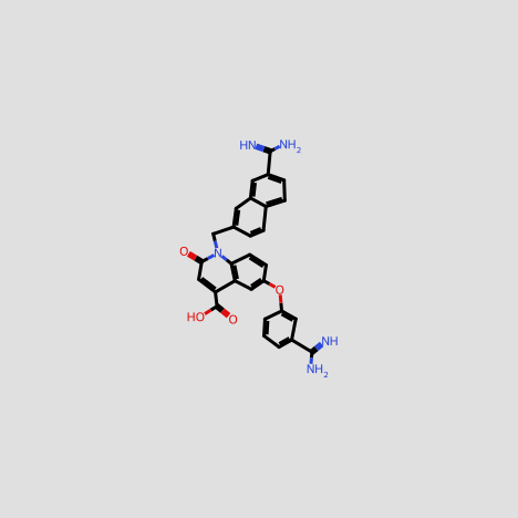 N=C(N)c1cccc(Oc2ccc3c(c2)c(C(=O)O)cc(=O)n3Cc2ccc3ccc(C(=N)N)cc3c2)c1